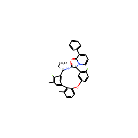 CCOC(=O)C[C@@H]1NC(=O)[C@@H](n2cccc(-c3ccccc3)c2=O)c2cc(ccc2F)Oc2cccc(C)c2-c2cc(C)c(F)c1c2